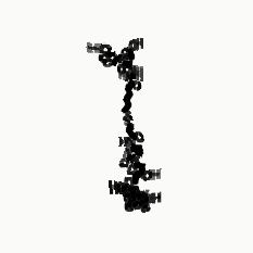 O=C[C@H](CC(=O)O)NC(=O)[C@H](CC(=O)O)NNC(=O)CCCCCSSCCC(=O)Nc1ccn(C2CC(O)C(COP(=O)(O)OP(=O)(O)OP(=O)(O)O)O2)c(=O)n1